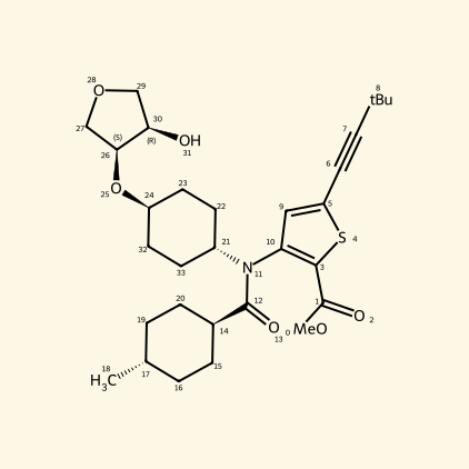 COC(=O)c1sc(C#CC(C)(C)C)cc1N(C(=O)[C@H]1CC[C@H](C)CC1)[C@H]1CC[C@H](O[C@H]2COC[C@H]2O)CC1